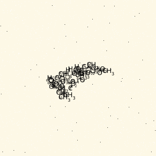 C=C1C[C@H](CCC(=O)/C=C/[C@H](O[Si](C)(C)C(C)(C)C)[C@@H]2OC3CC[C@H](CC(=O)OC)OC3[C@H](C)[C@@H]2C)OC1CC[C@H]1C[C@@H](C)C(=C)[C@@H](CC2O[C@H](C[C@H](C)CC)[C@H](C)[C@H]2CS(=O)(=O)c2ccccc2)O1